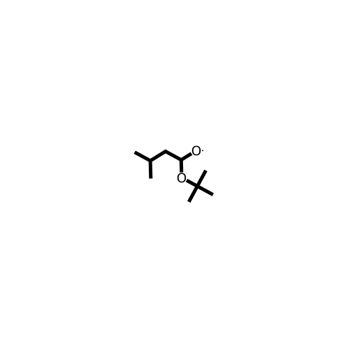 CC(C)CC([O])OC(C)(C)C